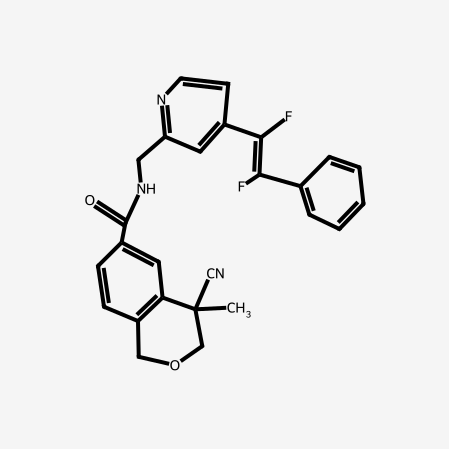 CC1(C#N)COCc2ccc(C(=O)NCc3cc(C(F)=C(F)c4ccccc4)ccn3)cc21